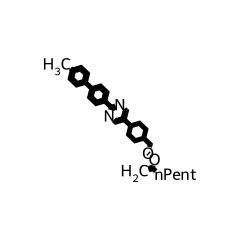 C=C(CCC[CH-][CH2+])OOCC1CCC(c2cnc(-c3ccc(-c4ccc(C)cc4)cc3)nc2)CC1